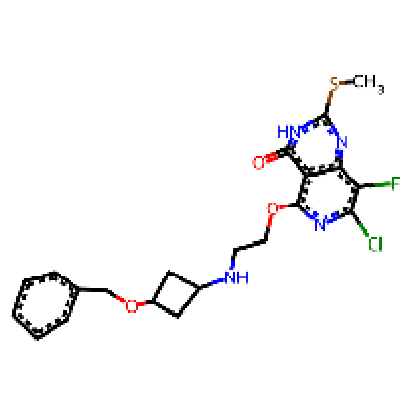 CSc1nc2c(F)c(Cl)nc(OCCNC3CC(OCc4ccccc4)C3)c2c(=O)[nH]1